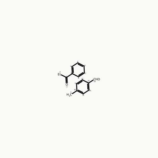 CCC(=O)c1ccccc1.Cc1ccc(C=O)cc1